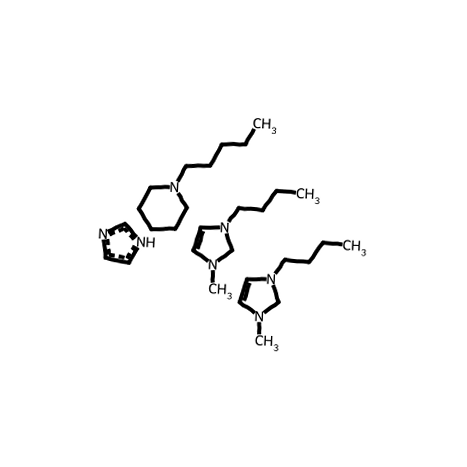 CCCCCN1CCCCC1.CCCCN1C=CN(C)C1.CCCCN1C=CN(C)C1.c1c[nH]cn1